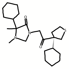 CN1CN(CC(=O)[C@@]2(C3CCCCC3)CCSC2)C(=O)C1(C)C1CCCCC1